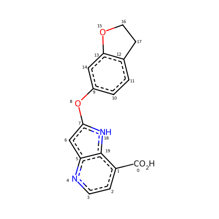 O=C(O)c1ccnc2cc(Oc3ccc4c(c3)OCC4)[nH]c12